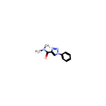 CN(C)C(=O)c1cn(-c2ccccc2)nn1